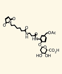 CC(=O)OCc1ccc(O[C@H]2C[C@@H](O)C(O)[C@@H](C(=O)O)O2)c(NC(=O)CCNC(=O)CCCCCN2C(=O)C=CC2=O)c1